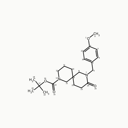 COc1ccc(CN2CC3(CCCN(C(=O)OC(C)(C)C)C3)CCC2=O)cc1